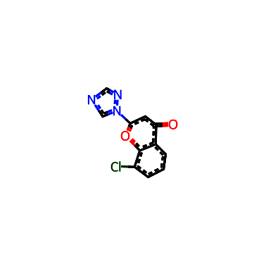 O=c1cc(-n2cncn2)oc2c(Cl)cccc12